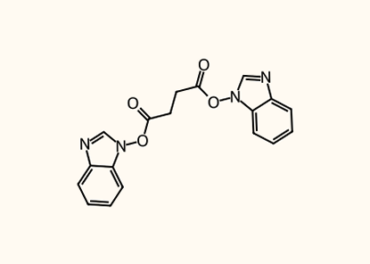 O=C(CCC(=O)On1cnc2ccccc21)On1cnc2ccccc21